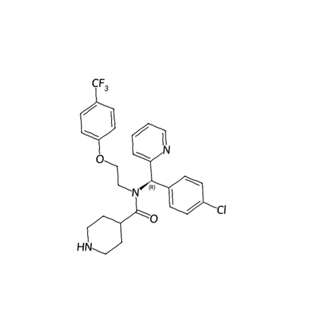 O=C(C1CCNCC1)N(CCOc1ccc(C(F)(F)F)cc1)[C@H](c1ccc(Cl)cc1)c1ccccn1